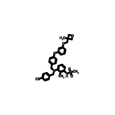 [C-]#[N+]c1ccc(CN(Cc2ccc(Oc3cccc(OCC4(C)COC4)c3)cc2)c2cccc(NS(C)(=O)=O)c2C)cc1